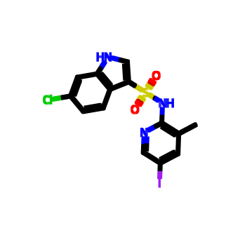 Cc1cc(I)cnc1NS(=O)(=O)c1c[nH]c2cc(Cl)ccc12